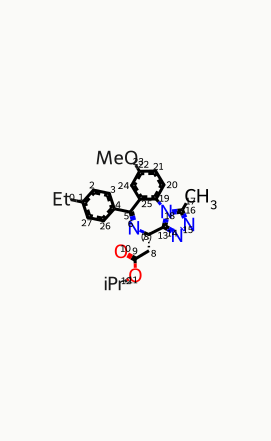 CCc1ccc(C2=N[C@@H](CC(=O)OC(C)C)c3nnc(C)n3-c3ccc(OC)cc32)cc1